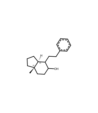 C[C@@]12CCC[C@H]1C(CCc1ccccc1)C(O)CC2